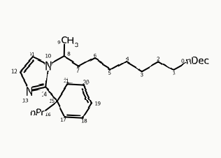 CCCCCCCCCCCCCCCCCC(C)n1ccnc1C1(CCC)C=CC=CC1